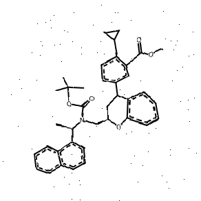 COC(=O)c1cc(C2C[C@H](CN(C(=O)OC(C)(C)C)[C@H](C)c3cccc4ccccc34)Oc3ccccc32)ccc1C1CC1